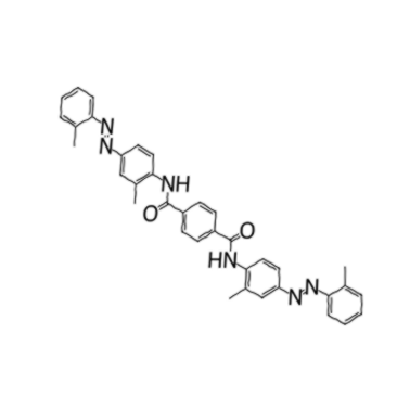 Cc1ccccc1/N=N/c1ccc(NC(=O)c2ccc(C(=O)Nc3ccc(/N=N/c4ccccc4C)cc3C)cc2)c(C)c1